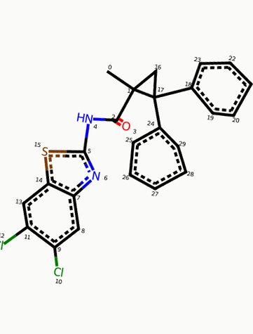 CC1(C(=O)Nc2nc3cc(Cl)c(Cl)cc3s2)CC1(c1ccccc1)c1ccccc1